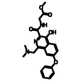 COC(=O)CNC(=O)c1nc(CN(C)C)c2cc(Oc3ccccc3)ccc2c1O